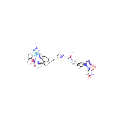 Cc1ccc(N[C@@H]2CNCC2(F)F)cc1C(=O)N[C@H](C)c1ccc(C#CC2CCN(CCCCC(=O)N3CCC(c4ccc5c(c4)n(C)c(=O)n5C4CCC(=O)NC4=O)CC3)CC2)c2ccccc12